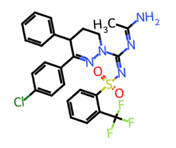 C/C(N)=N\C(=N\S(=O)(=O)c1ccccc1C(F)(F)F)N1CCC(c2ccccc2)C(c2ccc(Cl)cc2)=N1